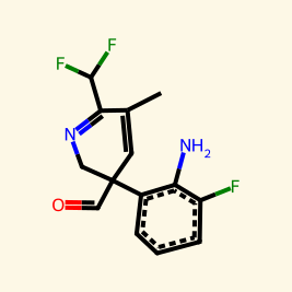 CC1=CC(C=O)(c2cccc(F)c2N)CN=C1C(F)F